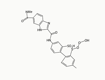 CNC(=O)c1ccc2nc(C(=O)Nc3ccc(-c4ccc(C)cc4SOOO)c(S(=O)(=O)O)c3)[nH]c2c1